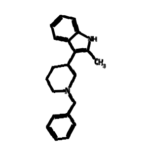 Cc1[nH]c2ccccc2c1C1CCCN(Cc2ccccc2)C1